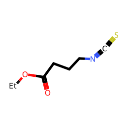 CCOC(=O)CCCN=C=S